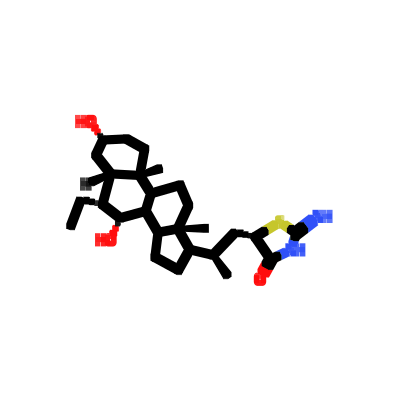 CC[C@H]1[C@@H](O)C2C3CCC([C@H](C)C[C@@H]4SC(=N)NC4=O)[C@@]3(C)CCC2[C@@]2(C)CC[C@@H](O)C[C@@H]12